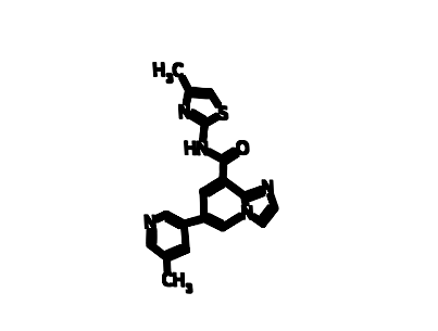 Cc1cncc(-c2cc(C(=O)Nc3nc(C)cs3)c3nccn3c2)c1